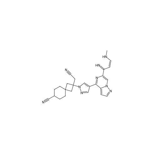 CN/C=C\C(=N)c1cn2nccc2c(-c2cnn(C3(CC#N)CC4(CCC(C#N)CC4)C3)c2)n1